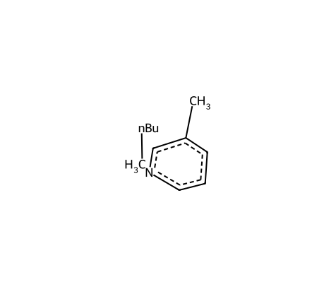 CCCCC.Cc1cccnc1